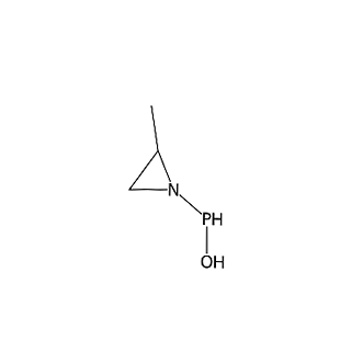 CC1CN1PO